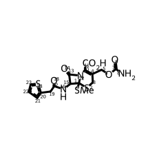 CSC12SCC(COC(N)=O)=C(C(=O)O)N1C(=O)C2NC(=O)Cc1cccs1